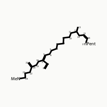 C=C/C(=C\CCCCCCCCC(C)C/C=C\CCCCC)CCC(=C)CCCNC